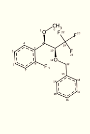 CO[C@H](c1ccccc1F)[C@H](OCc1ccccc1)C(F)(F)F